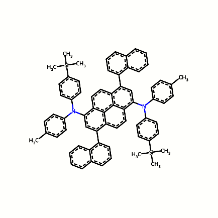 Cc1ccc(N(c2ccc([Si](C)(C)C)cc2)c2cc(-c3cccc4ccccc34)c3ccc4c(N(c5ccc(C)cc5)c5ccc([Si](C)(C)C)cc5)cc(-c5cccc6ccccc56)c5ccc2c3c54)cc1